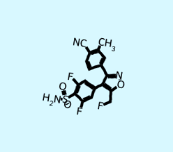 Cc1cc(-c2noc(CF)c2-c2cc(F)c(S(N)(=O)=O)c(F)c2)ccc1C#N